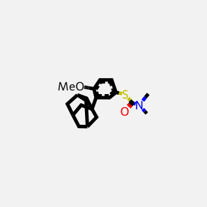 COc1ccc(SC(=O)N(C)C)cc1C12CC3CC(CC(C3)C1)C2